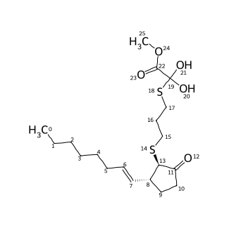 CCCCCC/C=C/[C@H]1CCC(=O)[C@@H]1SCCCSC(O)(O)C(=O)OC